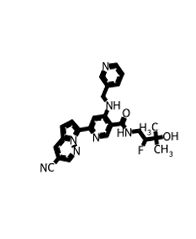 CC(C)(O)C(F)CNC(=O)c1cnc(-c2ccc3cc(C#N)cnn23)cc1NCc1cccnc1